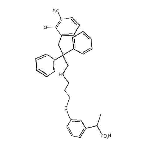 CC(C(=O)O)c1cccc(OCCCNCC(Cc2cccc(C(F)(F)F)c2Cl)(c2ccccc2)c2ccccc2)c1